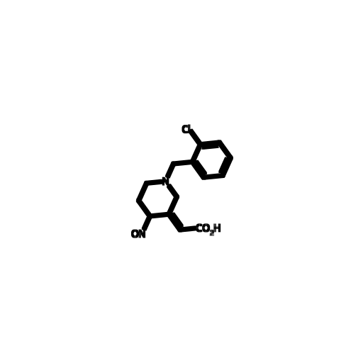 O=NC1CCN(Cc2ccccc2Cl)CC1=CC(=O)O